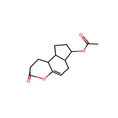 CC(=O)OC1CCC2C3CCC(=O)OC3=CCC12